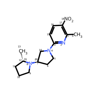 Cc1nc(N2CC[C@@H](N3CCC[C@@H]3C)C2)ccc1[N+](=O)[O-]